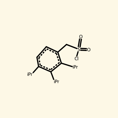 CC(C)c1ccc(CS(=O)(=O)Cl)c(C(C)C)c1C(C)C